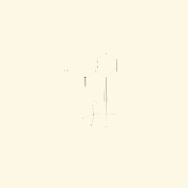 CCC(CC)C(O)(C#Cc1ccccc1C(=O)OC)C1(C#N)CC1